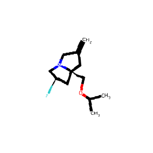 C=C1CN2C[C@H](F)C[C@@]2(COC(C)C)C1